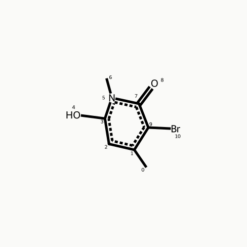 Cc1cc(O)n(C)c(=O)c1Br